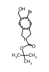 CC(C)(C)OC(=O)N1Cc2cc(Br)c(CO)cc2C1